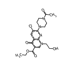 CCOC(=O)c1cn(CCO)c2nc(N3CCN(C(C)=O)CC3)c(Cl)cc2c1=O